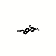 Cc1ccn(-c2ccc3c(cnn3CC=O)c2)c(=O)c1